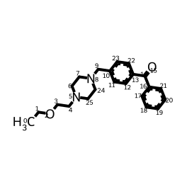 CCOCCN1CCN(Cc2ccc(C(=O)c3ccccc3)cc2)CC1